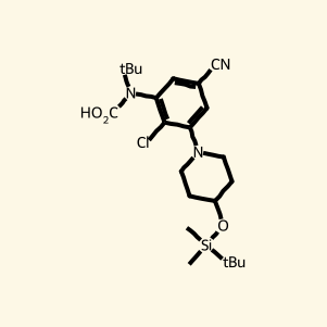 CC(C)(C)N(C(=O)O)c1cc(C#N)cc(N2CCC(O[Si](C)(C)C(C)(C)C)CC2)c1Cl